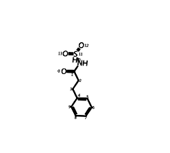 O=C(CCc1ccccc1)N[SH](=O)=O